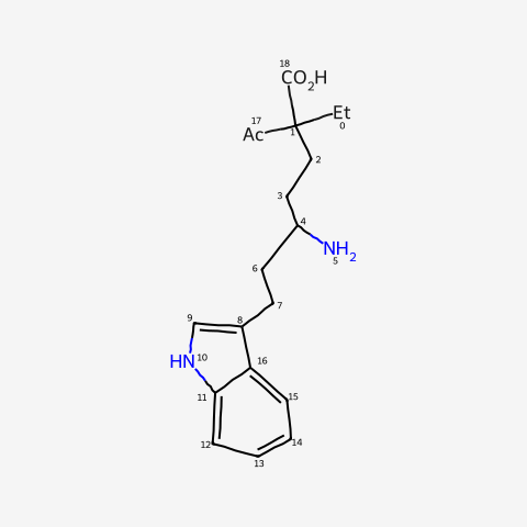 CCC(CCC(N)CCc1c[nH]c2ccccc12)(C(C)=O)C(=O)O